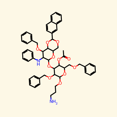 CC(=O)OC1C(COCc2ccccc2)OC(OCCCN)C(OCc2ccccc2)C1OC1OC2COC(c3ccc4ccccc4c3)OC2C(OCc2ccccc2)C1Nc1ccccc1